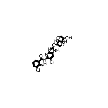 O=C(Nc1nc2nc(O[C@@H]3CO[C@H]4[C@@H]3OC[C@H]4O)[nH]c2cc1Cl)c1cccc(Cl)c1F